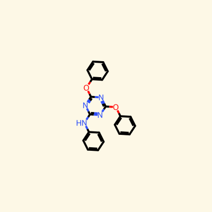 c1ccc(Nc2nc(Oc3ccccc3)nc(Oc3ccccc3)n2)cc1